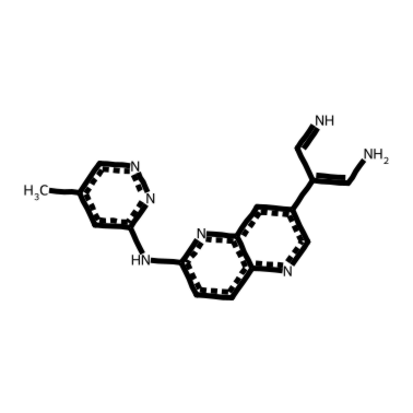 Cc1cnnc(Nc2ccc3ncc(/C(C=N)=C/N)cc3n2)c1